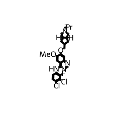 COc1cc2c(Nc3ccc(Cl)c(Cl)c3F)ncnc2cc1OCC1C[C@@H]2CN(C(C)C)C[C@@H]2C1